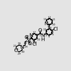 O=C(Nc1ccc(Cl)c(-c2ccccn2)c1)c1cnc(S(=O)(=O)CCN2CCOCC2)c(Cl)c1